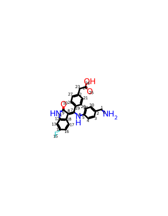 NCc1ccc(NC(=C2C(=O)Nc3cc(F)ccc32)c2ccc(CC(=O)O)cc2)cc1